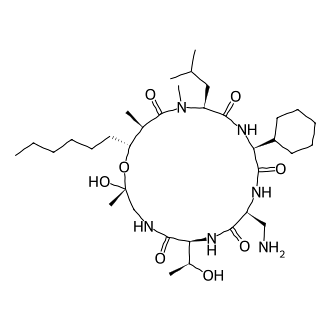 CCCCCC[C@H]1O[C@@](C)(O)CNC(=O)[C@H]([C@H](C)O)NC(=O)[C@H](CN)NC(=O)[C@H](C2CCCCC2)NC(=O)[C@H](CC(C)C)N(C)C(=O)[C@@H]1C